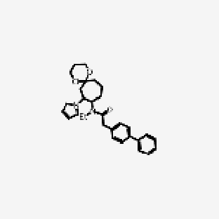 CCN(C(=O)Cc1ccc(-c2ccccc2)cc1)C1CCCC2(CC1N1CC=CC1)OCCCO2